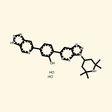 CC1(C)CC(n2nnc3cc(-c4ccc(-c5cc6nn[nH]c6cn5)cc4O)nnc32)CC(C)(C)N1.Cl.Cl